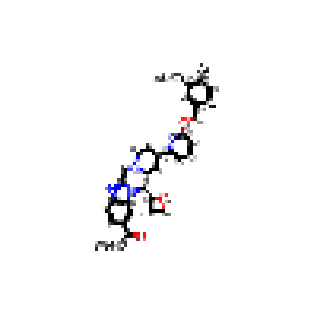 COC(=O)c1ccc2nc(CN3CC=C(c4cccc(OCc5ccc(C(C)=O)c(OC)c5)n4)CC3)n(C[C@@H]3CCO3)c2c1